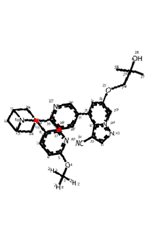 [2H]C([2H])([2H])Oc1ccc(CN2C3CC2CN(c2ccc(-c4cc(OCC(C)(C)O)cn5ncc(C#N)c45)cn2)C3)cn1